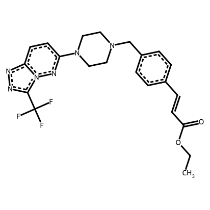 CCOC(=O)C=Cc1ccc(CN2CCN(c3ccc4nnc(C(F)(F)F)n4n3)CC2)cc1